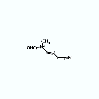 CCCCC=CN(C)C=O